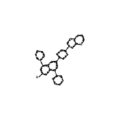 Brc1cc(-c2ccccc2)c2cc(-c3ccc(-c4ccc5ccccc5c4)cc3)cc(-c3ccccc3)c2c1